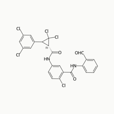 O=Cc1ccccc1NC(=O)c1cc(NC(=O)[C@@H]2C(c3cc(Cl)cc(Cl)c3)C2(Cl)Cl)ccc1Cl